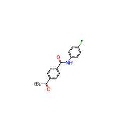 CC(C)(C)C(=O)c1ccc(C(=O)Nc2ccc(F)cc2)cc1